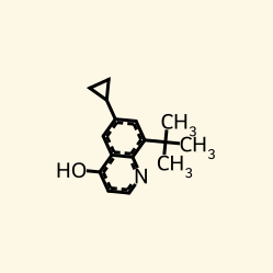 CC(C)(C)c1cc(C2CC2)cc2c(O)ccnc12